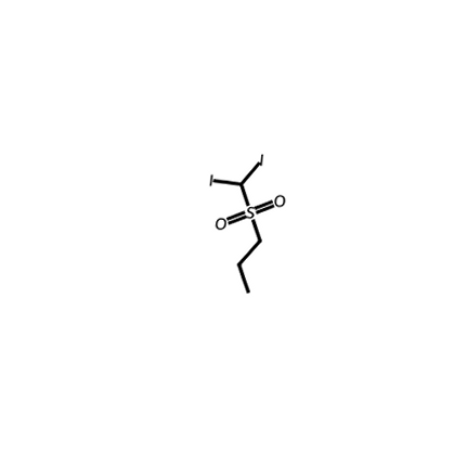 CCCS(=O)(=O)C(I)I